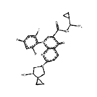 O=C(NC(C1CC1)C(F)(F)F)c1cn(-c2c(F)cc(F)cc2F)c2nc(N3CC(O)C4(CC4)C3)ccc2c1=O